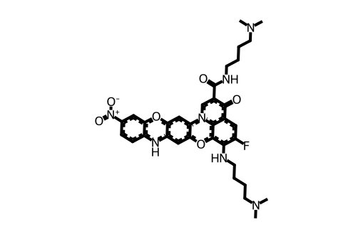 CN(C)CCCCNC(=O)c1cn2c3cc4oc5cc([N+](=O)[O-])ccc5[nH]c4cc3oc3c(NCCCCN(C)C)c(F)cc(c1=O)c32